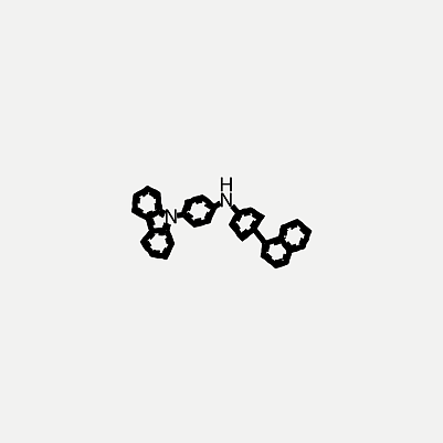 c1ccc2c(-c3ccc(Nc4ccc(-n5c6ccccc6c6ccccc65)cc4)cc3)cccc2c1